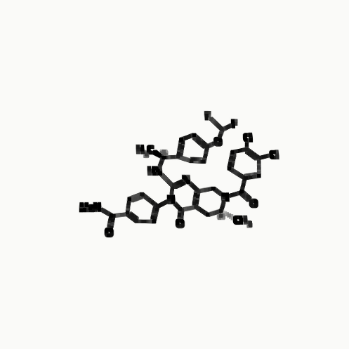 CNC(=O)c1ccc(-n2c(N[C@@H](C)c3ccc(OC(F)F)cc3)nc3c(c2=O)C[C@@H](C)N(C(=O)c2ccc(Cl)c(Cl)c2)C3)cc1